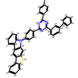 CCCCc1ccc(-c2nc(-c3ccc(-n4c5ccccc5c5cc6c(cc54)sc4ccccc46)cc3)nc(-c3cccc(-c4ccccc4)c3)n2)cc1